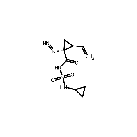 C=C[C@@H]1C[C@]1(N=N)C(=O)NS(=O)(=O)NC1CC1